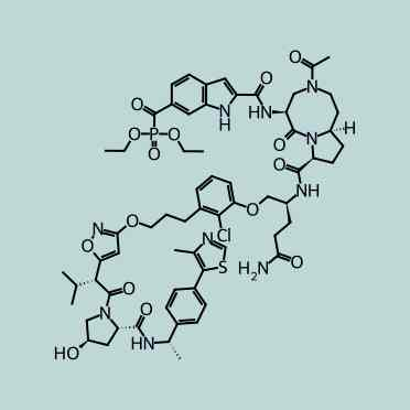 CCOP(=O)(OCC)C(=O)c1ccc2cc(C(=O)N[C@H]3CN(C(C)=O)CC[C@H]4CC[C@@H](C(=O)N[C@@H](CCC(N)=O)COc5cccc(CCCOc6cc([C@H](C(=O)N7C[C@H](O)C[C@H]7C(=O)N[C@@H](C)c7ccc(-c8scnc8C)cc7)C(C)C)on6)c5Cl)N4C3=O)[nH]c2c1